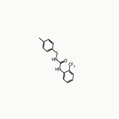 Cc1ccc(SNC(=O)Nc2ccccc2C(F)(F)F)cc1